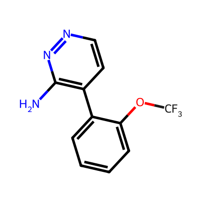 Nc1nnccc1-c1ccccc1OC(F)(F)F